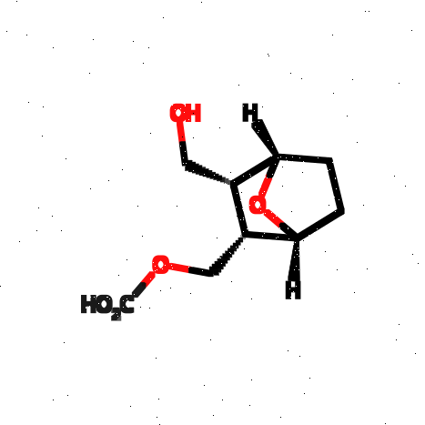 O=C(O)OC[C@@H]1[C@H](CO)[C@@H]2CC[C@H]1O2